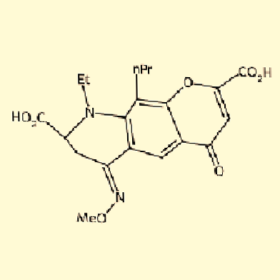 CCCc1c2c(cc3c(=O)cc(C(=O)O)oc13)C(=NOC)CC(C(=O)O)N2CC